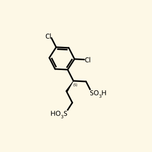 O=S(=O)(O)CC[C@H](CS(=O)(=O)O)c1ccc(Cl)cc1Cl